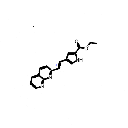 CCOC(=O)c1cc(/C=C/c2ccc3cccnc3n2)c[nH]1